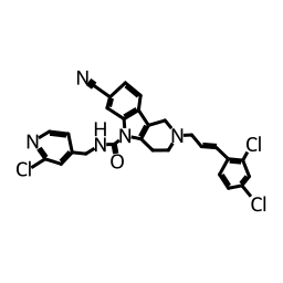 N#Cc1ccc2c3c(n(C(=O)NCc4ccnc(Cl)c4)c2c1)CCN(CC=Cc1ccc(Cl)cc1Cl)C3